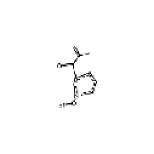 C=C(C)C(=O)c1ccc[n+](OCC)c1